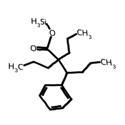 CCCC(c1ccccc1)C(CCC)(CCC)C(=O)O[SiH3]